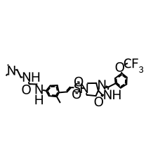 Cc1cc(NCC(=O)NCCN(C)C)ccc1/C=C/S(=O)(=O)N1CCC2(CC1)N=C(c1cccc(OC(F)(F)F)c1)NC2=O